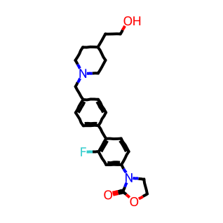 O=C1OCCN1c1ccc(-c2ccc(CN3CCC(CCO)CC3)cc2)c(F)c1